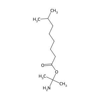 CC(C)CCCCCC(=O)OC(C)(C)N